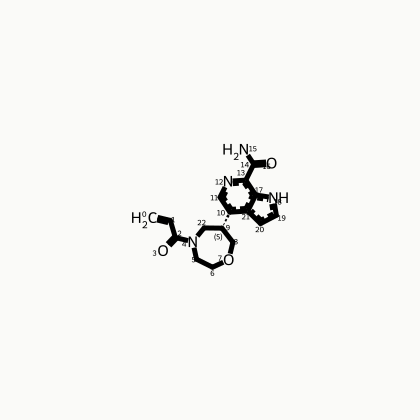 C=CC(=O)N1CCOC[C@@H](c2cnc(C(N)=O)c3[nH]ccc23)C1